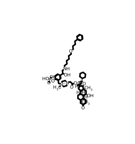 C[C@]12C=CC(=O)C=C1CC[C@@H]1[C@@H]2[C@@H](O)C[C@@]2(C)[C@H]1C[C@H]1O[C@@H](C3CCCCC3)O[C@]12C(=O)COC(=O)CN1CC[N+](C)(Cc2cc(C(O)CNCCCCCCOCCCCc3ccccc3)ccc2OP(=O)(O)O)CC1